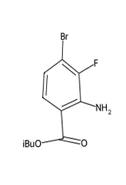 CC(C)COC(=O)c1ccc(Br)c(F)c1N